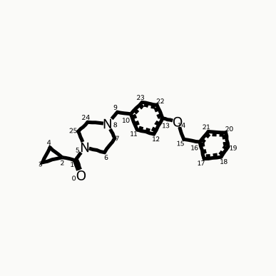 O=C(C1CC1)N1CCN(Cc2ccc(OCc3ccccc3)cc2)CC1